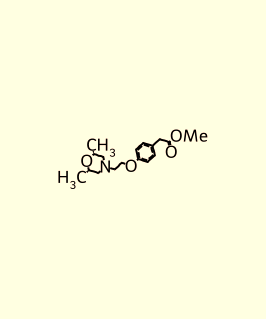 COC(=O)Cc1ccc(OCCN2C[C@@H](C)O[C@H](C)C2)cc1